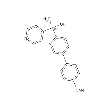 COc1ccc(-c2ccc([C@](C)(O)c3ccncc3)nc2)cc1